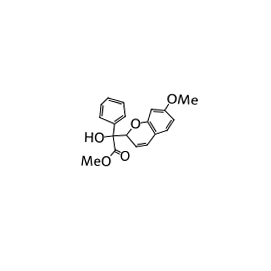 COC(=O)C(O)(c1ccccc1)C1C=Cc2ccc(OC)cc2O1